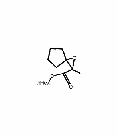 CCCCCCOC(=O)C1(C)OC12CCCC2